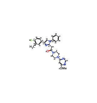 COc1cc(N2CCN(C(=O)Cc3nc(-c4ccc(F)c(C)c4)cn3-c3ccccc3)CC2)ncn1